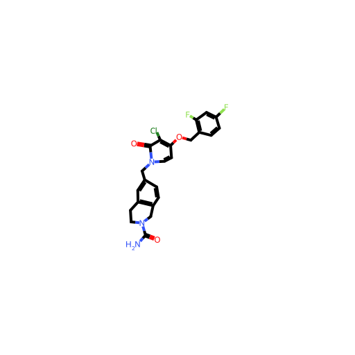 NC(=O)N1CCc2cc(Cn3ccc(OCc4ccc(F)cc4F)c(Cl)c3=O)ccc2C1